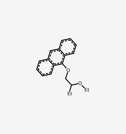 CCOC(CC)COc1c2ccccc2[c]c2ccccc12